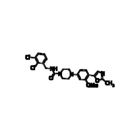 COc1cc(N2CCN(C(=O)NCc3cccc(Cl)c3Cl)CC2)ccc1-c1cnc(C)o1